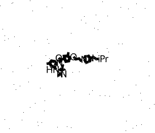 Cc1ccc2c(c1)Nc1c(cnn1C)CN2C(=O)c1ccc(OCCCN2CCN(CCC(C)C)CC2)c(C)c1